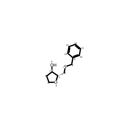 O[C@@H]1CCO[C@H]1CSCc1ccccc1